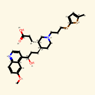 COc1ccc2nccc([C@H](O)CC[C@@H]3CCN(CCCSc4ccc(C)s4)C[C@H]3CCC(=O)O)c2c1